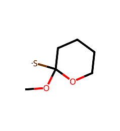 COC1([S])CCCCO1